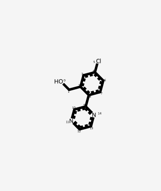 OCc1cc(Cl)ccc1-c1cnccn1